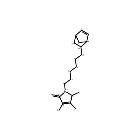 CC1=C(C)C(C)N(CCCCCCC2CC3C=CC2C3)C1=O